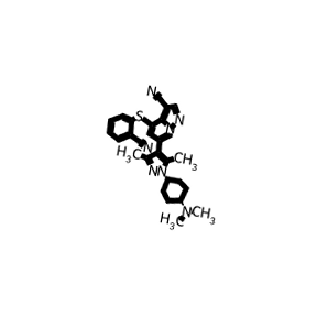 Cc1nn([C@H]2CC[C@@H](N(C)C)CC2)c(C)c1-c1cc(Sc2ccccc2C#N)c2c(C#N)cnn2c1